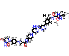 Cc1cc(-c2cc(Nc3ccc(N4CCC5(CC4)CN(C(=O)C4CN(c6ccc(N7CCC(=O)NC7=O)cc6)C4)C5)cn3)ncn2)ccc1[C@@H](C)NC(=O)c1nc(C(C)(C)C)no1